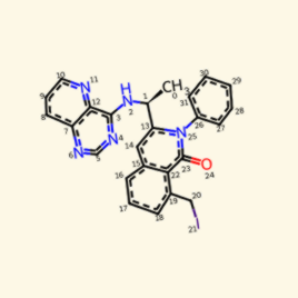 C[C@H](Nc1ncnc2cccnc12)c1cc2cccc(CI)c2c(=O)n1-c1ccccc1